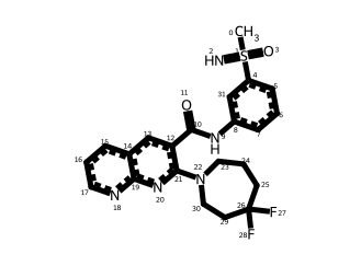 CS(=N)(=O)c1cccc(NC(=O)c2cc3cccnc3nc2N2CCCC(F)(F)CC2)c1